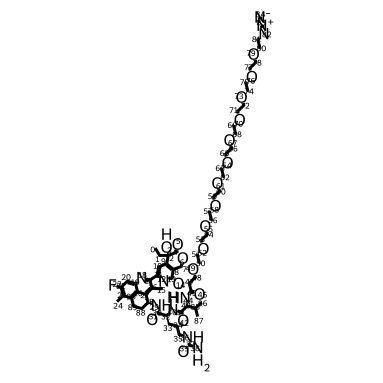 CC[C@@]1(O)C(=O)OCc2c1cc1n(c2=O)Cc2c-1nc1cc(F)c(C)c3c1c2[C@@H](NC(=O)[C@H](CCCNC(N)=O)NC(=O)[C@@H](NC(=O)CCOCCOCCOCCOCCOCCOCCOCCOCCOCCOCCOCCN=[N+]=[N-])C(C)C)CC3